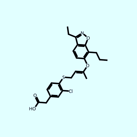 CCCc1c(OC(C)=CCSc2ccc(CC(=O)O)cc2Cl)ccc2c(CC)noc12